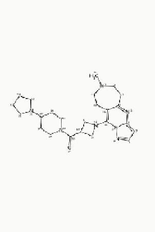 CN1CCc2nc3ccnn3c(N3CC(C(=O)N4CCC(N5CCCC5)CC4)C3)c2CC1